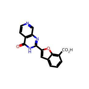 O=C(O)c1cccc2cc(-c3nc4cnccc4c(=O)[nH]3)oc12